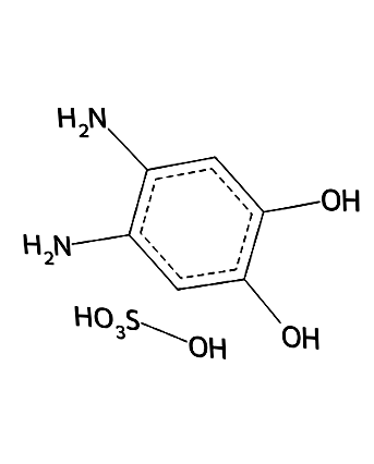 Nc1cc(O)c(O)cc1N.O=S(=O)(O)O